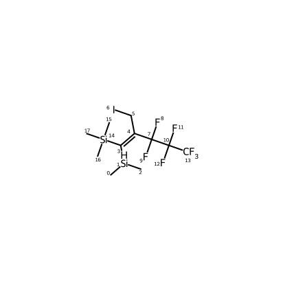 C[SiH](C)C(=C(CI)C(F)(F)C(F)(F)C(F)(F)F)[Si](C)(C)C